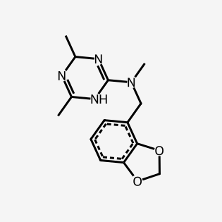 CC1=NC(C)N=C(N(C)Cc2cccc3c2OCO3)N1